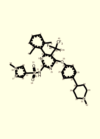 Cc1cccc(C)c1-c1nc(NS(=O)(=O)c2cnn(C)c2)nc(Oc2ccc(C3CCN(C)CC3)cc2)c1C(F)(F)C(F)(F)F